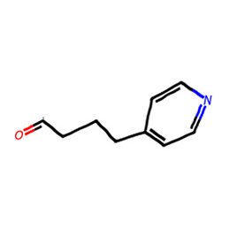 O=[C]CCCc1ccncc1